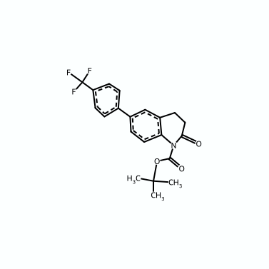 CC(C)(C)OC(=O)N1C(=O)CCc2cc(-c3ccc(C(F)(F)F)cc3)ccc21